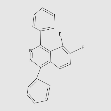 Fc1ccc2c(-c3ccccc3)nnc(-c3ccccc3)c2c1F